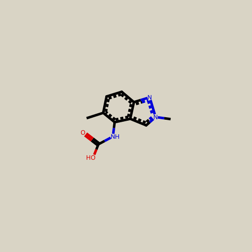 Cc1ccc2nn(C)cc2c1NC(=O)O